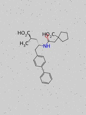 C[C@H](C[C@@H](Cc1ccc(-c2ccccc2)cc1)NC(=O)CC1(C(=O)O)CCCC1)C(=O)O